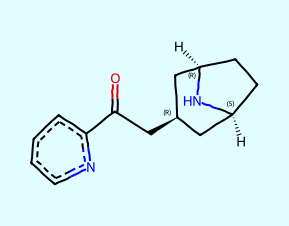 O=C(C[C@H]1C[C@H]2CC[C@@H](C1)N2)c1ccccn1